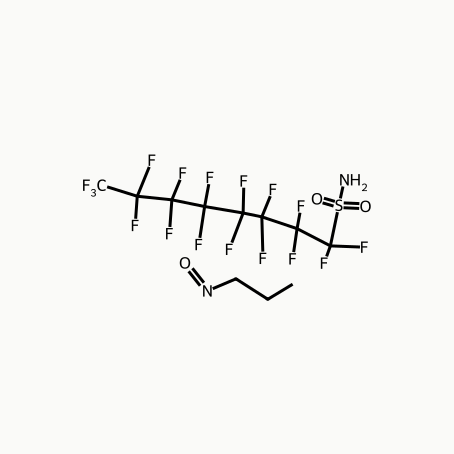 CCCN=O.NS(=O)(=O)C(F)(F)C(F)(F)C(F)(F)C(F)(F)C(F)(F)C(F)(F)C(F)(F)C(F)(F)F